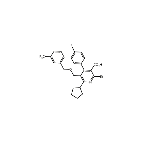 CCc1nc(C2CCCC2)c(COCc2cccc(C(F)(F)F)c2)c(-c2ccc(F)cc2)c1C(=O)O